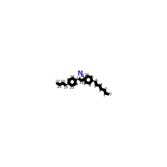 CCCCCCC[C@H]1CC[C@@](C#N)(CC[C@H]2CC[C@H](CCCC)CC2)CC1